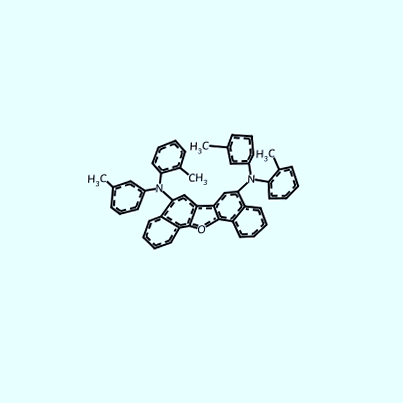 Cc1cccc(N(c2ccccc2C)c2cc3c4cc(N(c5cccc(C)c5)c5ccccc5C)c5ccccc5c4oc3c3ccccc23)c1